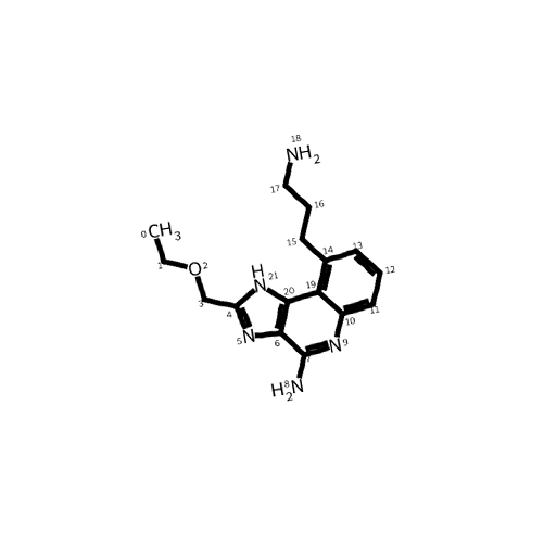 CCOCc1nc2c(N)nc3cccc(CCCN)c3c2[nH]1